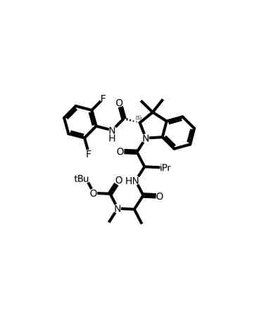 CC(C)C(NC(=O)C(C)N(C)C(=O)OC(C)(C)C)C(=O)N1c2ccccc2C(C)(C)[C@H]1C(=O)Nc1c(F)cccc1F